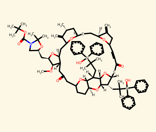 C=C1C2C[C@@H]3O[C@H](C[C@H]4CN(C(=O)OC(C)(C)C)C(C)(C)O4)[C@H](OC)[C@H]3CC(=O)CC3CC[C@@H]4O[C@H]5[C@@H](CC(C)(C)[Si](O)(c6ccccc6)c6ccccc6)[C@@H](CC(=O)/C=C/C6CC(=C)[C@H](CC[C@@H](C[C@H]1C)O2)O6)O[C@H]5[C@@H](CC(C)(C)[Si](O)(c1ccccc1)c1ccccc1)[C@H]4O3